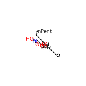 CCCCC/C=C\C/C=C\CCCCCCCCOC(CCCCCCCCCCC1CCCCC1)O[Si](C)(C)OCCCCCCN(CCO)CCO